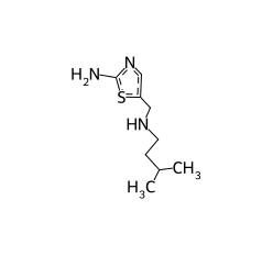 CC(C)CCNCc1cnc(N)s1